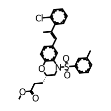 COC(=O)CC[C@H]1CN(S(=O)(=O)c2cccc(C)c2)c2cc(/C=C(\C)c3ccccc3Cl)ccc2O1